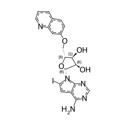 Nc1ncnc2c1cc(I)n2[C@@H]1O[C@H](COc2ccc3cccnc3c2)[C@@H](O)[C@H]1O